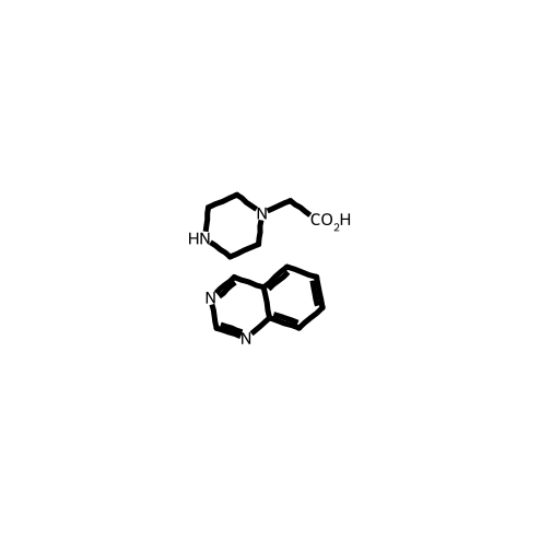 O=C(O)CN1CCNCC1.c1ccc2ncncc2c1